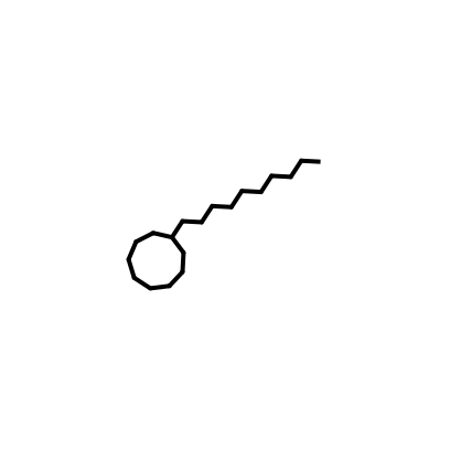 CCCCCCCCCCC1CCCCCCCC1